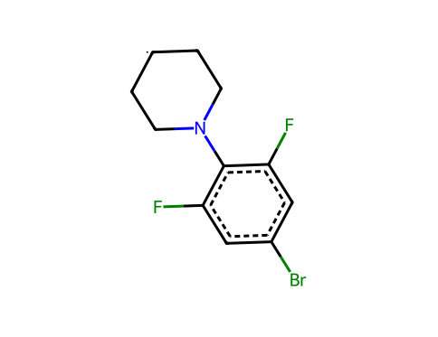 Fc1cc(Br)cc(F)c1N1CC[CH]CC1